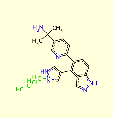 CC(C)(N)c1ccc(-c2ccc3[nH]ncc3c2-c2cn[nH]c2)nc1.Cl.Cl.Cl.Cl